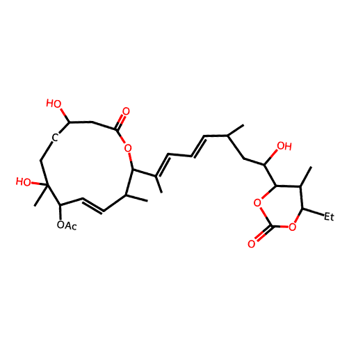 CCC1OC(=O)OC(C(O)CC(C)/C=C/C=C(\C)C2OC(=O)CC(O)CCC(C)(O)C(OC(C)=O)/C=C/C2C)C1C